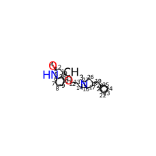 CC1CC(=O)Nc2cccc(OCCCN3CCC(Cc4ccccc4)CC3)c21